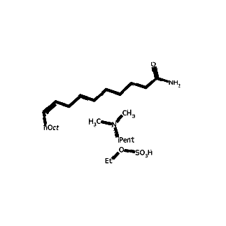 CCCC(C)N(C)C.CCCCCCCC/C=C\CCCCCCCC(N)=O.CCOS(=O)(=O)O